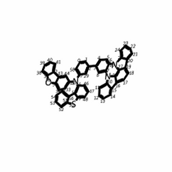 c1cc(-c2ccc3c(c2)n2c4ccccc4c4ccc5c6ccccc6n3c5c42)cc(N(c2ccc3oc4ccccc4c3c2)c2cccc3sc4ccccc4c23)c1